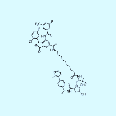 Cc1ncsc1-c1ccc([C@H](C)NC(=O)[C@@H]2C[C@@H](O)CN2C[C@@H](NC(=O)CCCCCCCCCNC(=O)c2cc(NC(=O)c3cc(F)cc(C(F)(F)F)c3)c3c(c2)C(=O)NC3c2cc(F)ccc2Cl)C(C)(C)C=O)cc1